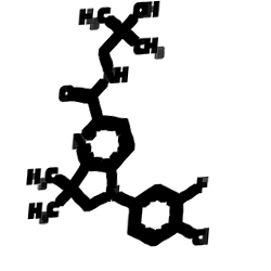 CC(C)(O)CNC(=O)c1ccc2c(n1)C(C)(C)CN2c1ccc(Cl)c(F)c1